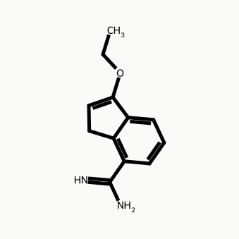 CCOC1=CCc2c(C(=N)N)cccc21